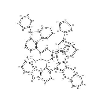 CCC1C(c2cccc3c2c2ccccc2n3-c2ccccc2)=NC(c2cccc(-c3ccccc3)c2)=NC1c1c(-n2c3cc4ccccc4cc3c3c4ccccc4ccc32)ccc2oc3ccccc3c12